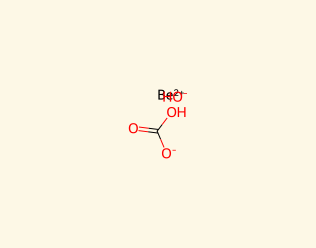 O=C([O-])O.[Be+2].[OH-]